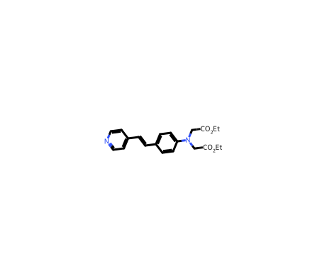 CCOC(=O)CN(CC(=O)OCC)c1ccc(/C=C/c2ccncc2)cc1